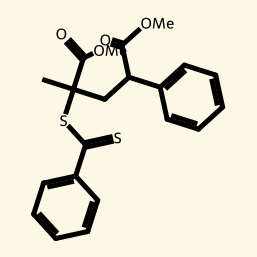 COC(=O)C(CC(C)(SC(=S)c1ccccc1)C(=O)OC)c1ccccc1